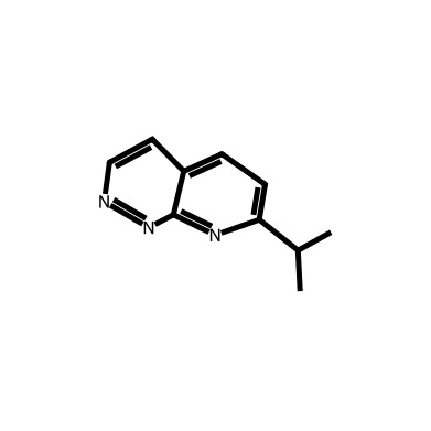 CC(C)c1ccc2ccnnc2n1